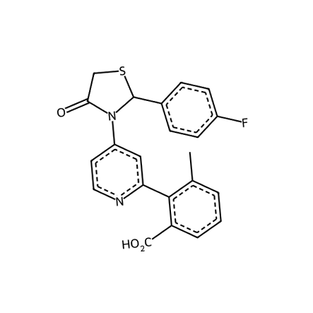 Cc1cccc(C(=O)O)c1-c1cc(N2C(=O)CSC2c2ccc(F)cc2)ccn1